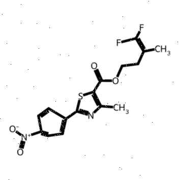 CC(CCOC(=O)c1sc(-c2ccc([N+](=O)[O-])cc2)nc1C)=C(F)F